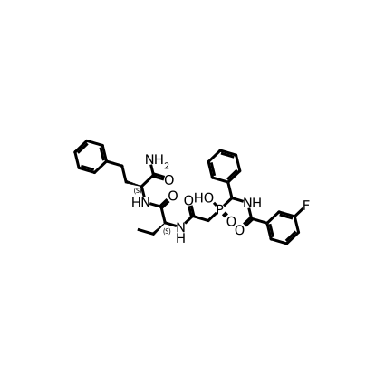 CC[C@H](NC(=O)CP(=O)(O)C(NC(=O)c1cccc(F)c1)c1ccccc1)C(=O)N[C@@H](CCc1ccccc1)C(N)=O